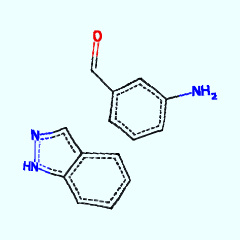 Nc1cccc(C=O)c1.c1ccc2[nH]ncc2c1